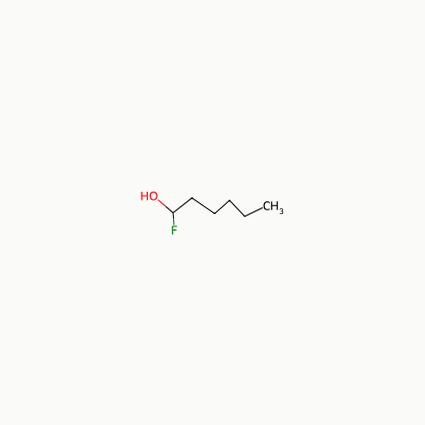 CCCCCC(O)F